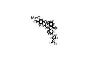 COc1cc(OC)c(NC(=O)Cn2c(=O)n(CC(=O)N3CCC(N(C)C)C3)c(=O)c3ccccc32)cc1Cl